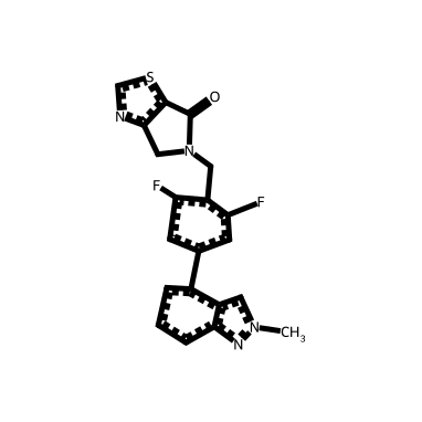 Cn1cc2c(-c3cc(F)c(CN4Cc5ncsc5C4=O)c(F)c3)cccc2n1